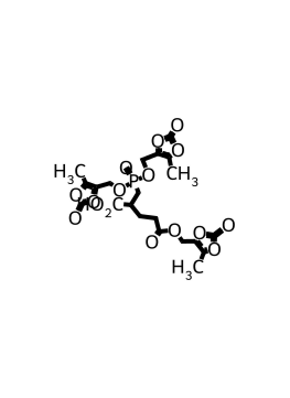 Cc1oc(=O)oc1COC(=O)CCC(CP(=O)(OCc1oc(=O)oc1C)OCc1oc(=O)oc1C)C(=O)O